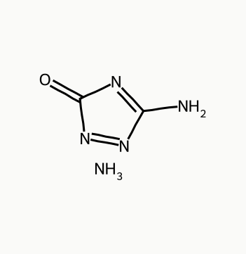 N.NC1=NC(=O)N=N1